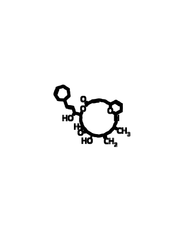 C=C1CC(C)C[C@@H]2CC=CC(C/C=C\C(=O)OC(C(O)/C=C/C3CC=CCCC3)C[C@@H]3OC3[C@@H](O)C1)O2